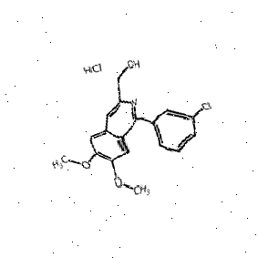 COc1cc2cc(CO)nc(-c3cccc(Cl)c3)c2cc1OC.Cl